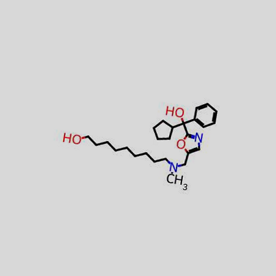 CN(CCCCCCCCCO)Cc1cnc(C(O)(c2ccccc2)C2CCCC2)o1